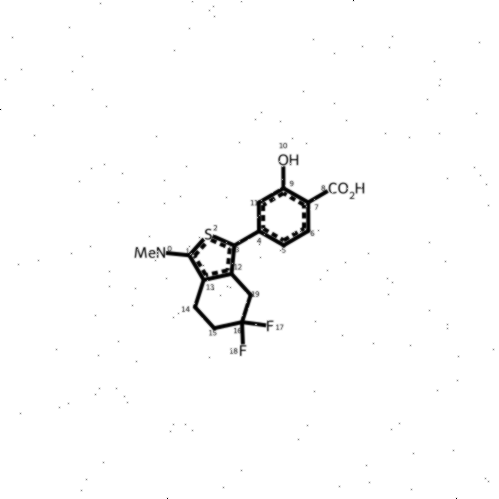 CNc1sc(-c2ccc(C(=O)O)c(O)c2)c2c1CCC(F)(F)C2